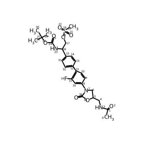 CC(=O)NCC1CN(c2ccc(-c3ccc(C(COS(C)(=O)=O)NC(=O)OC(C)(C)C)cc3)c(F)c2)C(=O)O1